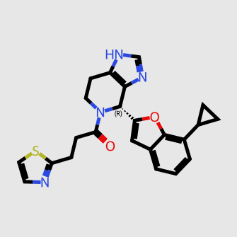 O=C(CCc1nccs1)N1CCc2[nH]cnc2[C@@H]1c1cc2cccc(C3CC3)c2o1